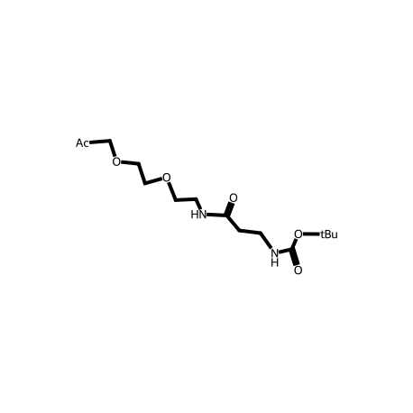 CC(=O)COCCOCCNC(=O)CCNC(=O)OC(C)(C)C